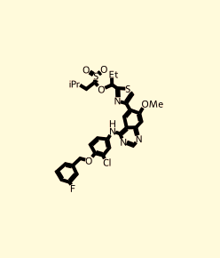 CCC(OC(CC(C)C)=S(=O)=O)c1nc(-c2cc3c(Nc4ccc(OCc5cccc(F)c5)c(Cl)c4)ncnc3cc2OC)cs1